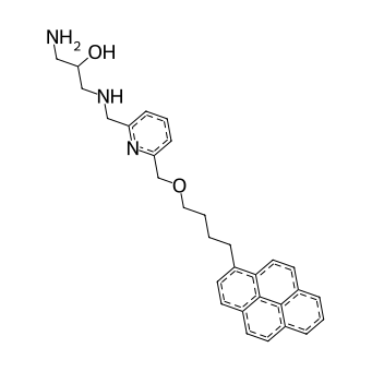 NCC(O)CNCc1cccc(COCCCCc2ccc3ccc4cccc5ccc2c3c45)n1